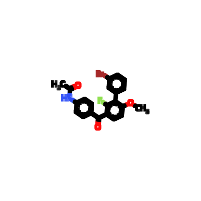 COc1ccc(C(=O)c2ccc(NC(C)=O)cc2)c(F)c1-c1cccc(Br)c1